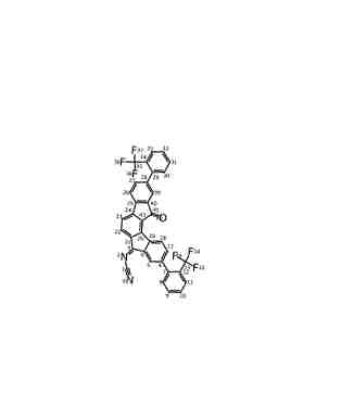 N#C/N=c1\c2cc(-c3ccccc3C(F)(F)F)ccc2c2c1ccc1c3ccc(-c4ccccc4C(F)(F)F)cc3c(=O)c12